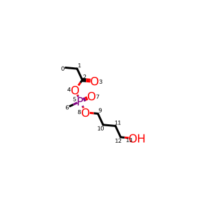 CCC(=O)OP(C)(=O)OCCCCO